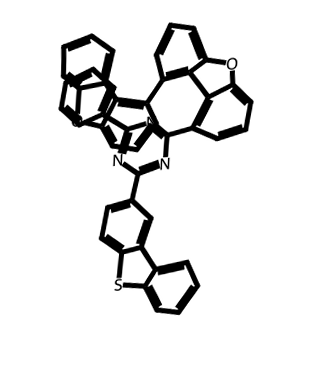 c1ccc(-c2nc(-c3ccc4sc5ccccc5c4c3)nc(-c3cccc4oc5cccc(-c6cccc7oc8ccccc8c67)c5c34)n2)cc1